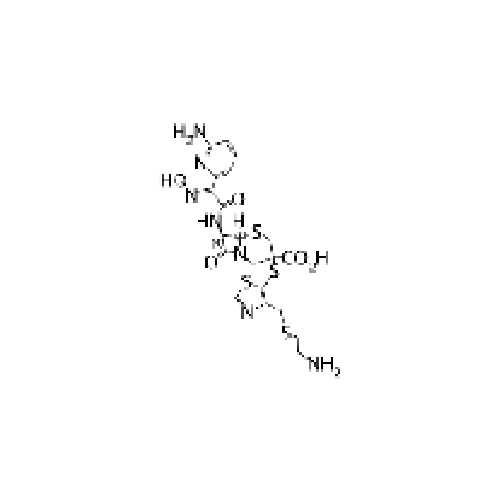 NCCSCc1ncsc1SC1(C(=O)O)CS[C@@H]2[C@H](NC(=O)C(=NO)c3cccc(N)n3)C(=O)N2C1